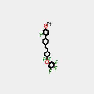 CCOc1ccc(C2CCC(/C=C/C3CCC(C(F)(F)Oc4cc(F)c(F)c(F)c4)CC3)CC2)c(F)c1